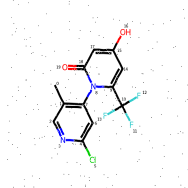 Cc1cnc(Cl)cc1-n1c(C(F)(F)F)cc(O)cc1=O